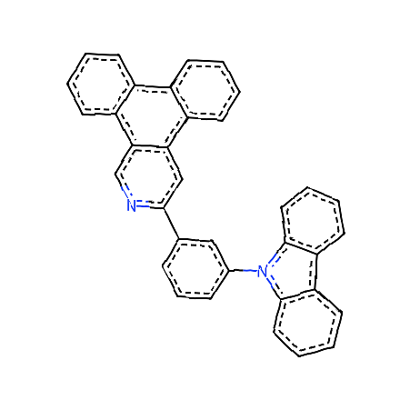 c1cc(-c2cc3c4ccccc4c4ccccc4c3cn2)cc(-n2c3ccccc3c3ccccc32)c1